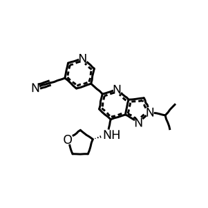 CC(C)n1cc2nc(-c3cncc(C#N)c3)cc(N[C@@H]3CCOC3)c2n1